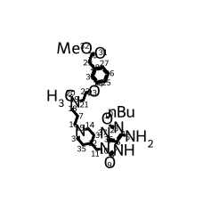 CCCCOc1nc(N)c2[nH]c(=O)n(CC3CCN(CCCN(C)CCOc4cccc(CC(=O)OC)c4)CC3)c2n1